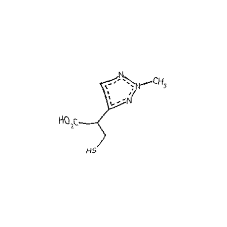 Cn1ncc(C(CS)C(=O)O)n1